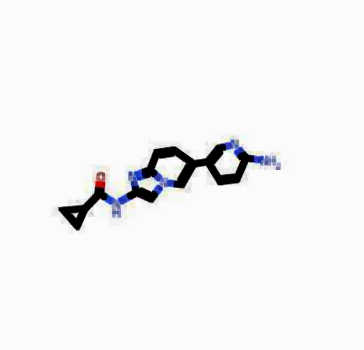 Nc1ccc(-c2ccc3nc(NC(=O)C4CC4)cn3c2)cn1